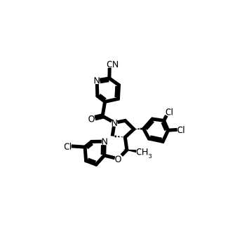 C[C@@H](Oc1ccc(Cl)cn1)[C@@H]1CN(C(=O)c2ccc(C#N)nc2)C[C@@H]1c1ccc(Cl)c(Cl)c1